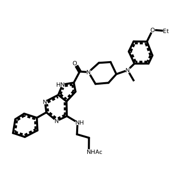 CCOc1ccc(N(C)C2CCN(C(=O)c3cc4c(NCCNC(C)=O)nc(-c5ccccc5)nc4[nH]3)CC2)cc1